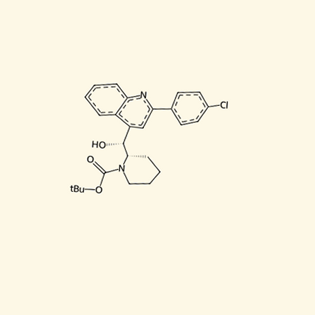 CC(C)(C)OC(=O)N1CCCC[C@H]1[C@H](O)c1cc(-c2ccc(Cl)cc2)nc2ccccc12